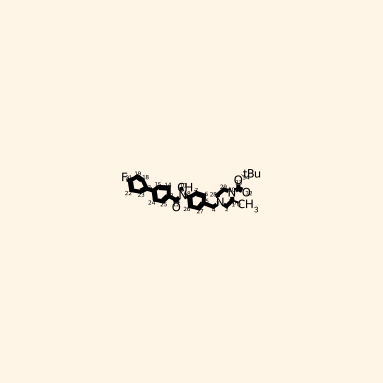 C[C@H]1CN(Cc2ccc(N(C)C(=O)c3ccc(-c4ccc(F)cc4)cc3)cc2)CCN1C(=O)OC(C)(C)C